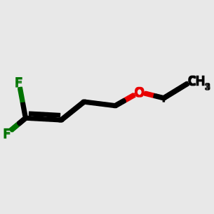 C[CH]OCCC=C(F)F